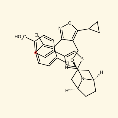 O=C(O)c1ccc(-c2csc(N3[C@@H]4CC[C@H]3C[C@@H](OCc3c(-c5c(Cl)cccc5Cl)noc3C3CC3)C4)n2)cc1